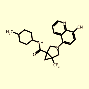 CC1CCC(NC(=O)C23CN(c4ccc(C#N)c5ncccc45)CC2(C(F)(F)F)C3)CC1